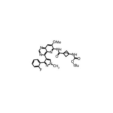 COc1cc2ncnc(-c3cn(C)nc3-c3ccccc3F)c2nc1NC(=O)C12CC(NC(=O)OC(C)(C)C)(C1)C2